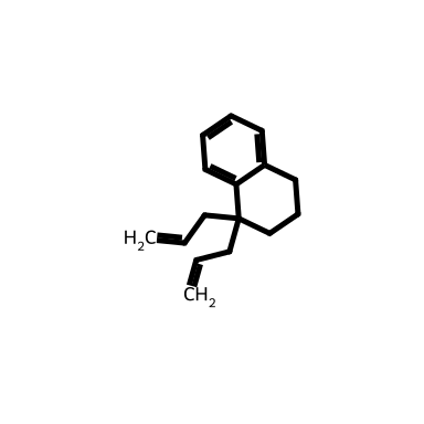 C=CCC1(CC=C)CCCc2ccccc21